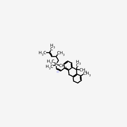 CC(C)=CC(C)CP(C)(C)(C)/C=C\c1cccc2c1CC1=C(C(C)=CCC1)C2(C)C